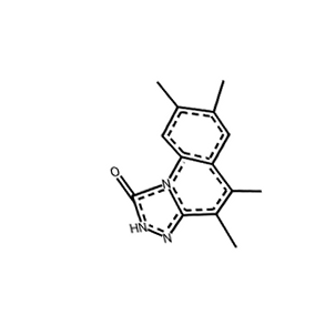 Cc1cc2c(C)c(C)c3n[nH]c(=O)n3c2cc1C